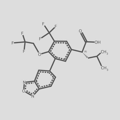 CC(C)C[C@@H](C(=O)O)c1cc(-c2ccc3nonc3c2)c(OCC(F)(F)F)c(C(F)(F)F)c1